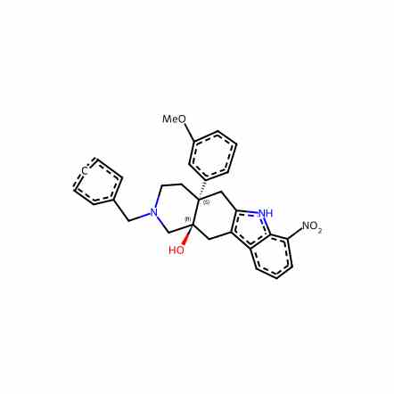 COc1cccc([C@@]23CCN(Cc4ccccc4)C[C@@]2(O)Cc2c([nH]c4c([N+](=O)[O-])cccc24)C3)c1